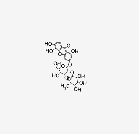 C[C@@H]1O[C@@H](O[C@H]2[C@H](Oc3cc(O)c4c(=O)c5ccc(O)c(O)c5oc4c3)O[C@H](CO)[C@@H](O)[C@@H]2O)[C@H](O)[C@H](O)[C@H]1O